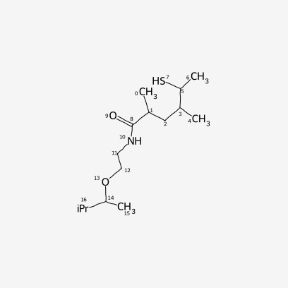 CC(CC(C)C(C)S)C(=O)NCCOC(C)C(C)C